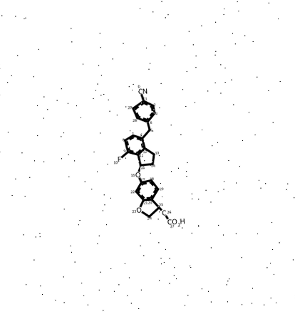 N#Cc1ccc(Cc2ccc(F)c3c2CC[C@H]3Oc2ccc3c(c2)OCC3CC(=O)O)cc1